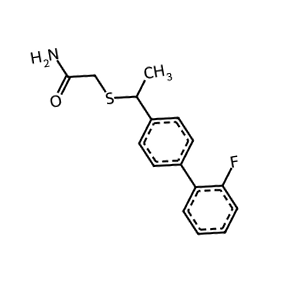 CC(SCC(N)=O)c1ccc(-c2ccccc2F)cc1